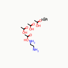 CC(=O)O.CC(=O)O.CC(=O)O.CC(=O)O.NCCN.[Fe].[NaH]